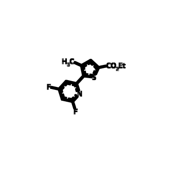 CCOC(=O)c1cc(C)c(-c2cc(F)cc(F)n2)s1